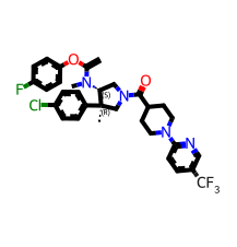 C=C(Oc1ccc(F)cc1)N(C)[C@@H]1CN(C(=O)C2CCN(c3ccc(C(F)(F)F)cn3)CC2)C[C@@]1(C)c1ccc(Cl)cc1